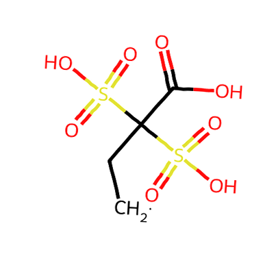 [CH2]CC(C(=O)O)(S(=O)(=O)O)S(=O)(=O)O